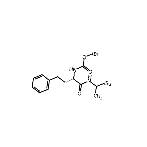 CCC(C)C(C)NC(=O)[C@H](CCc1ccccc1)NC(=O)OC(C)(C)C